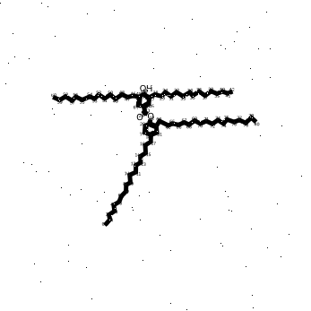 CCCCCCCCCCCCCCCCCCc1ccc(OC(=O)c2cc(CCCCCCCCCCCCCCC)c(O)c(CCCCCCCCCCCCCCC)c2)c(CCCCCCCCCCCCCCCCCC)c1